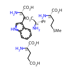 CC(C)[C@H](N)C(=O)O.CSCC[C@H](N)C(=O)O.N[C@@H](CCC(=O)O)C(=O)O.N[C@@H](Cc1c[nH]c2ccccc12)C(=O)O